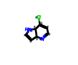 ClC1=CC=NC2C=CNC12